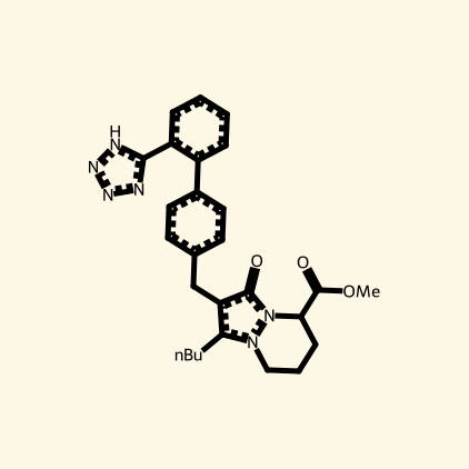 CCCCc1c(Cc2ccc(-c3ccccc3-c3nnn[nH]3)cc2)c(=O)n2n1CCCC2C(=O)OC